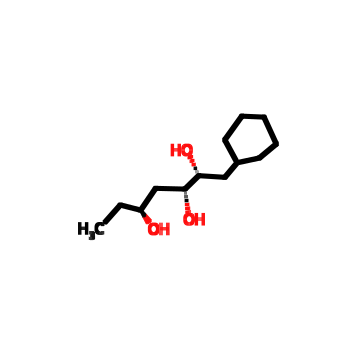 CC[C@H](O)C[C@@H](O)[C@H](O)CC1CCCCC1